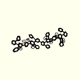 C[Si]1(C)c2cc(-c3ccccc3-c3ccccc3)c3c(oc4ccccc43)c2-c2ccc3c(c21)[Si](C)(C)c1cc(-c2cc(-c4ccc(-c5ccccc5)c(-c5cc6oc7cc8c(cc7c6c6c5oc5ccccc56)oc5cc(-c6ccccc6-c6ccccc6)c6oc7ccccc7c6c58)c4)ccc2-c2ccccc2)c2c(oc4ccccc42)c1-3